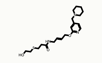 O=C(CCSCCO)NCC=CCOc1cc(CN2CCCCC2)ccn1